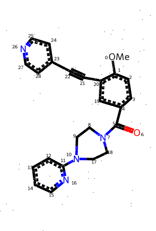 COc1ccc(C(=O)N2CCN(c3ccccn3)CC2)cc1C#Cc1ccncc1